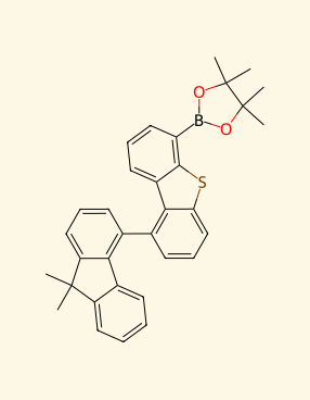 CC1(C)c2ccccc2-c2c(-c3cccc4sc5c(B6OC(C)(C)C(C)(C)O6)cccc5c34)cccc21